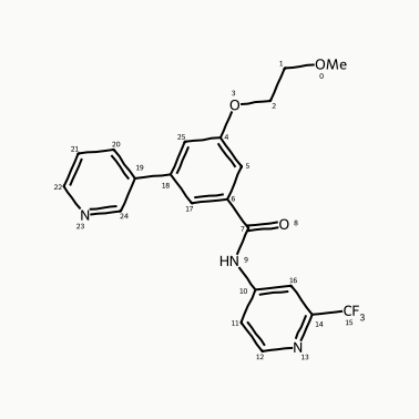 COCCOc1cc(C(=O)Nc2ccnc(C(F)(F)F)c2)cc(-c2cccnc2)c1